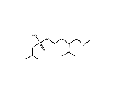 COCC(CCOP(=O)(O)OC(C)C)C(C)C